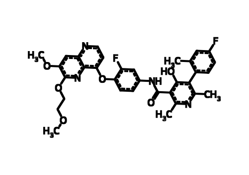 COCCOc1nc2c(Oc3ccc(NC(=O)c4c(C)nc(C)c(-c5ccc(F)cc5C)c4O)cc3F)ccnc2cc1OC